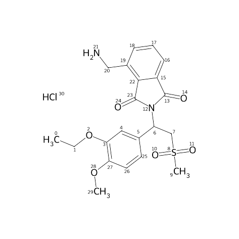 CCOc1cc(C(CS(C)(=O)=O)N2C(=O)c3cccc(CN)c3C2=O)ccc1OC.Cl